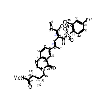 C=N/C(OC)=C(\C=C(/C)c1ccc2ncn(C[C@H](C)[C@@H](C)C(=O)NC)c(=O)c2c1)NS(=O)(=O)c1ccc(F)cc1Cl